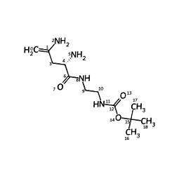 C=C(N)C[C@H](N)C(=O)NCCNC(=O)OC(C)(C)C